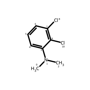 CN(C)c1c[c]cc(Cl)c1Cl